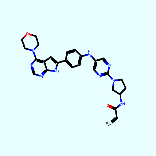 C=CC(=O)N[C@@H]1CCN(c2ncc(Nc3ccc(-c4cc5c(N6CCOCC6)ncnc5[nH]4)cc3)cn2)C1